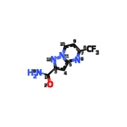 NC(=O)c1cc2nc(C(F)(F)F)ccn2n1